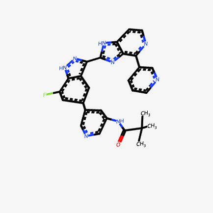 CC(C)(C)C(=O)Nc1cncc(-c2cc(F)c3[nH]nc(-c4nc5c(-c6cccnc6)nccc5[nH]4)c3c2)c1